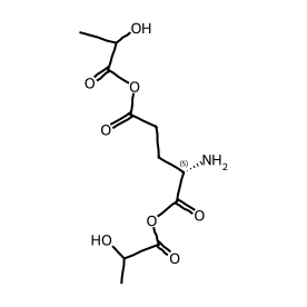 CC(O)C(=O)OC(=O)CC[C@H](N)C(=O)OC(=O)C(C)O